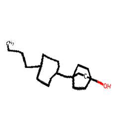 CCCCC1CCC(C23CCC(O)(CC2)CC3)CC1